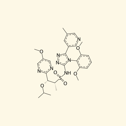 COc1cnc([C@@H](OC(C)C)[C@@H](C)S(=O)(=O)Nc2nnc(-c3cncc(C)c3)n2-c2c(OC)cccc2OC)nc1